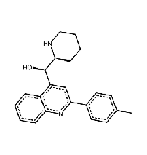 Cc1ccc(-c2cc([C@@H](O)[C@@H]3CCCCN3)c3ccccc3n2)cc1